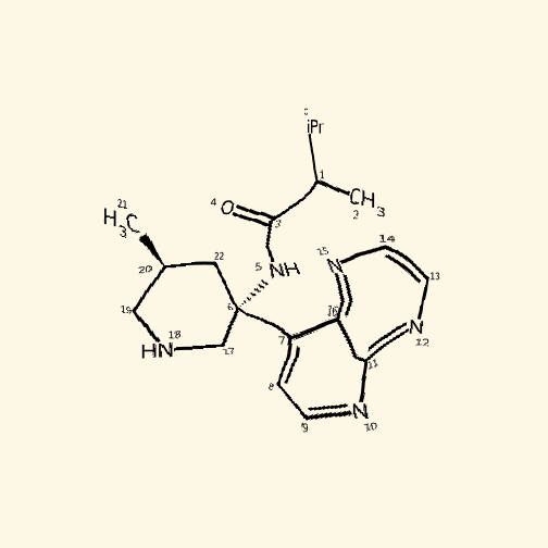 CC(C)C(C)C(=O)N[C@]1(c2ccnc3nccnc23)CNC[C@@H](C)C1